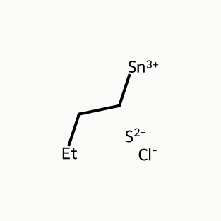 CCC[CH2][Sn+3].[Cl-].[S-2]